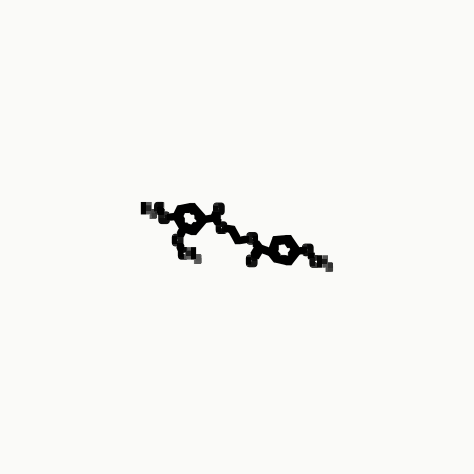 COc1ccc(C(=O)OCCOC(=O)c2ccc(OC)c(OC)c2)cc1